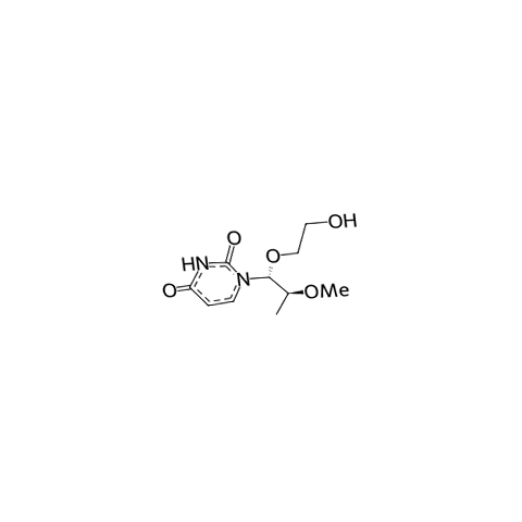 CO[C@@H](C)[C@@H](OCCO)n1ccc(=O)[nH]c1=O